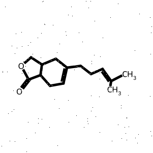 CC(C)=CCCC1=CCC2C(=O)OCC2C1